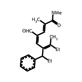 CC/C(C)=C(/C=C(C=O)\C=C(/C)C(=O)NC)C(CC)c1ccccc1